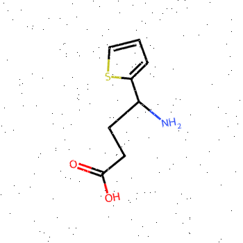 NC(CCC(=O)O)c1cccs1